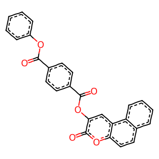 O=C(Oc1ccccc1)c1ccc(C(=O)Oc2cc3c(ccc4ccccc43)oc2=O)cc1